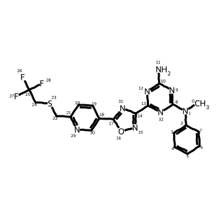 CN(c1ccccc1)c1nc(N)nc(-c2noc(-c3ccc(CSCC(F)(F)F)nc3)n2)n1